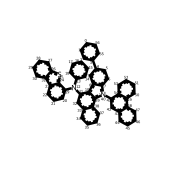 c1ccc(-c2ccc3c(c2)c2c(N(c4ccccc4)c4cccc5c4sc4ccccc45)cc4ccccc4c2n3-c2cc3ccccc3c3ccccc23)cc1